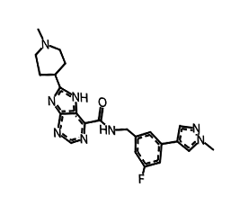 CN1CCC(c2nc3ncnc(C(=O)NCc4cc(F)cc(-c5cnn(C)c5)c4)c3[nH]2)CC1